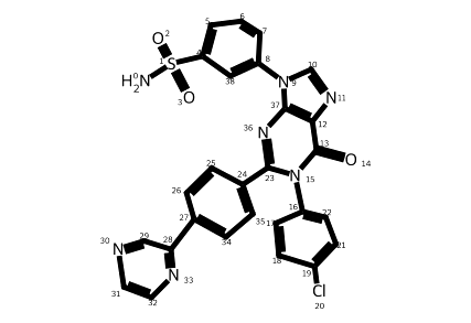 NS(=O)(=O)c1cccc(-n2cnc3c(=O)n(-c4ccc(Cl)cc4)c(-c4ccc(-c5cnccn5)cc4)nc32)c1